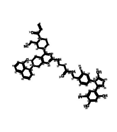 C=CC(=O)N1CCN(c2nc(NCCC(=O)NCc3ccc(-n4c(O)nnc4-c4cc(C(C)C)c(O)cc4O)cc3F)nc3c2CCN(c2cccc4cccc(Cl)c24)C3)CC1CC#N